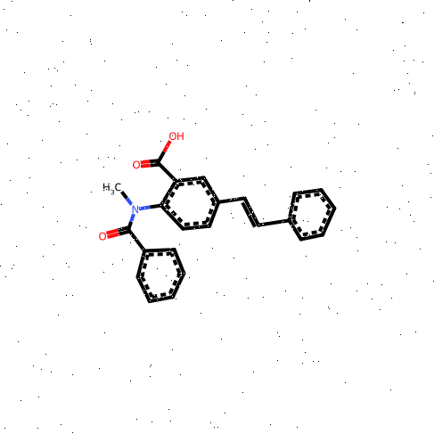 CN(C(=O)c1ccccc1)c1ccc(C=Cc2ccccc2)cc1C(=O)O